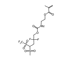 C=C(C)C(=O)OCCNC(=O)OCC(F)(F)CC(S(C)(=O)=O)S(=O)(=O)C(F)(F)F